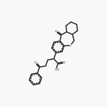 O=C(CCC(C(=O)O)c1ccc2c(c1)SCC1CCCCC1C2=O)c1ccccc1